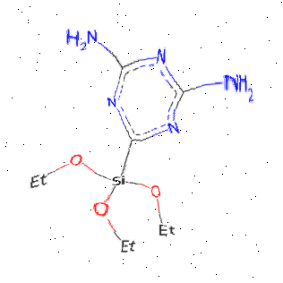 CCO[Si](OCC)(OCC)c1nc(N)nc(N)n1